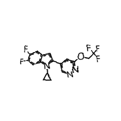 Fc1cc2cc(-c3cnnc(OCC(F)(F)F)c3)n(C3CC3)c2cc1F